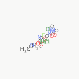 COc1cc2c(Oc3ccc(NC(=O)c4nn(-c5ccccc5Cl)c5ccccc5c4=O)cc3F)ccnc2cc1OCCCN1CCC(C)CC1.Cl.Cl